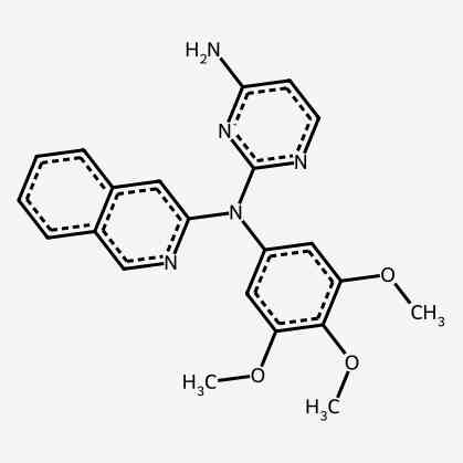 COc1cc(N(c2cc3ccccc3cn2)c2nccc(N)n2)cc(OC)c1OC